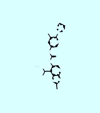 COC(c1c(NC(=O)Nc2cnc(-n3nccn3)c(Cl)c2)cnc2sc(C)nc12)C(C)(C)C